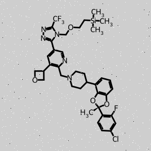 C[C@]1(c2ccc(Cl)cc2F)Oc2cccc(C3CCN(Cc4ncc(-c5nnc(C(F)(F)F)n5COCC[Si](C)(C)C)cc4C4COC4)CC3)c2O1